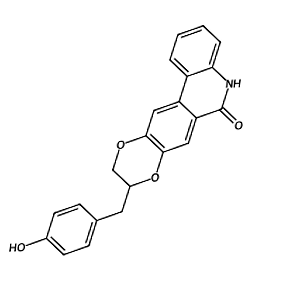 O=c1[nH]c2ccccc2c2cc3c(cc12)OC(Cc1ccc(O)cc1)CO3